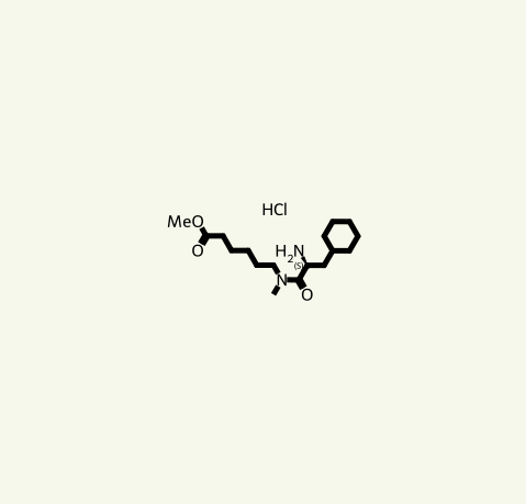 COC(=O)CCCCCN(C)C(=O)[C@@H](N)CC1CCCCC1.Cl